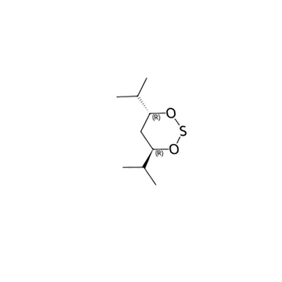 CC(C)[C@H]1C[C@H](C(C)C)OSO1